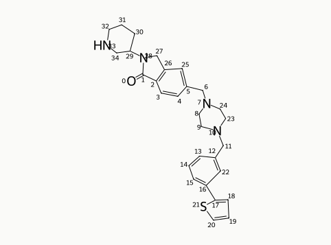 O=C1c2ccc(CN3CCN(Cc4cccc(-c5cccs5)c4)CC3)cc2CN1C1CCCNC1